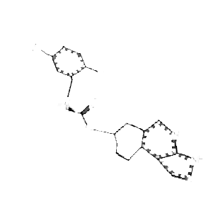 Cc1ccc(Cl)c(NC(=O)NC2CCc3c(cnc4[nH]ncc34)C2)c1